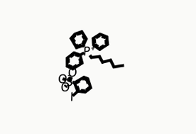 CCCCCC[P+](c1ccccc1)(c1ccccc1)c1ccccc1.O=S(=O)([O-])c1ccccc1I